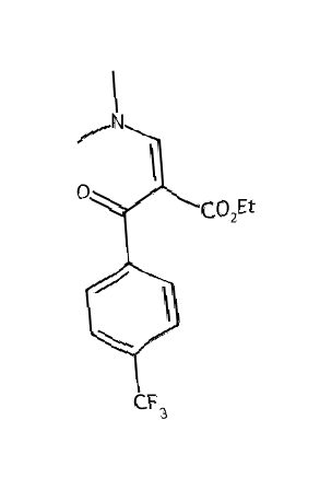 CCOC(=O)/C(=C/N(C)C)C(=O)c1ccc(C(F)(F)F)cc1